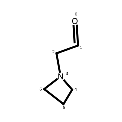 O=C[CH]N1CCC1